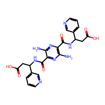 Nc1nc(C(=O)NC(CC(=O)O)c2cccnc2)c(N)nc1C(=O)NC(CC(=O)O)c1cccnc1